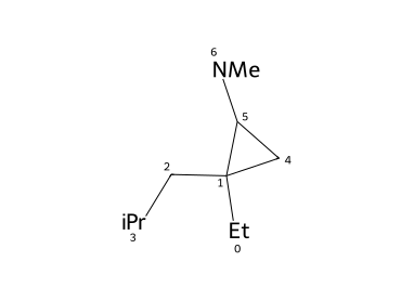 CCC1(CC(C)C)CC1NC